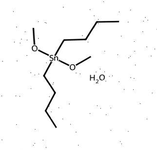 CCC[CH2][Sn]([CH2]CCC)([O]C)[O]C.O